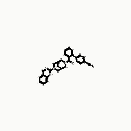 N#Cc1ccc(-c2ccccc2C(=O)N2CC3CC(C2)CN(c2ncc4ccccc4n2)C3)cc1